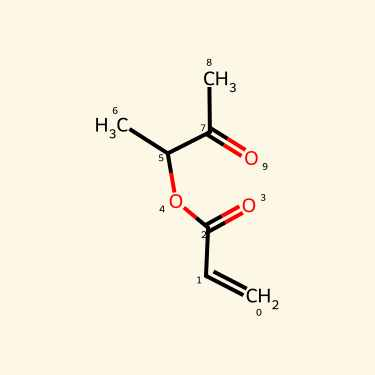 C=CC(=O)OC(C)C(C)=O